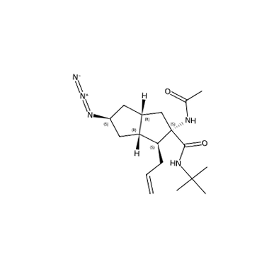 C=CC[C@H]1[C@@H]2C[C@@H](N=[N+]=[N-])C[C@@H]2C[C@@]1(NC(C)=O)C(=O)NC(C)(C)C